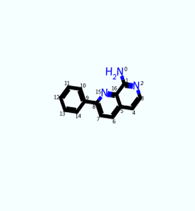 Nc1nccc2ccc(-c3ccccc3)nc12